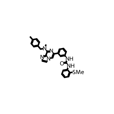 CSc1ccccc1NC(=O)Nc1cccc(-c2cn3ccnc3c(N(C)Cc3ccc(C)cc3)n2)c1